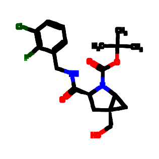 CC(C)(C)OC(=O)N1C2C[C@@]2(CO)C[C@H]1C(=O)NCc1cccc(Cl)c1F